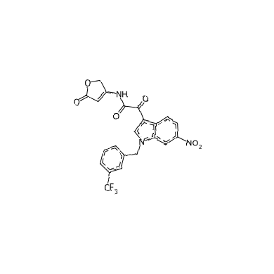 O=C1C=C(NC(=O)C(=O)c2cn(Cc3cccc(C(F)(F)F)c3)c3cc([N+](=O)[O-])ccc23)CO1